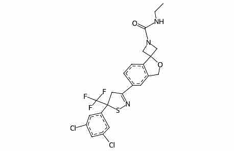 CCNC(=O)N1CC2(C1)OCc1cc(C3=NSC(c4cc(Cl)cc(Cl)c4)(C(F)(F)F)C3)ccc12